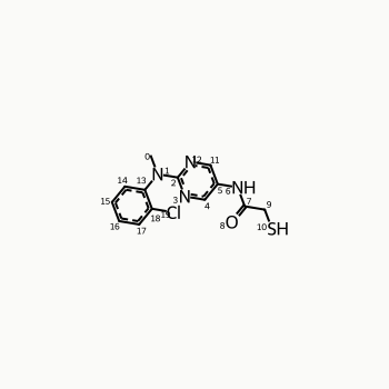 CN(c1ncc(NC(=O)CS)cn1)c1ccccc1Cl